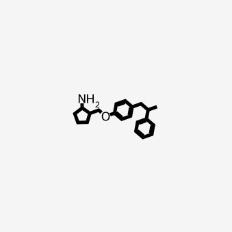 CC(Cc1ccc(OCC2CCCC2N)cc1)c1ccccc1